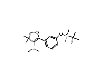 CC(C)C1=C(c2cccc(O[Si](C)(C)C(C)(C)C)c2)OCC1(C)C